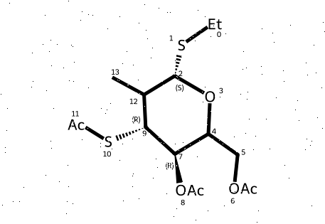 CCS[C@@H]1OC(COC(C)=O)[C@@H](OC(C)=O)[C@H](SC(C)=O)C1C